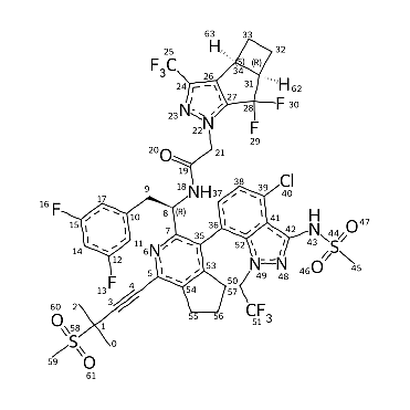 CC(C)(C#Cc1nc([C@@H](Cc2cc(F)cc(F)c2)NC(=O)Cn2nc(C(F)(F)F)c3c2C(F)(F)[C@@H]2CC[C@H]32)c(-c2ccc(Cl)c3c(NS(C)(=O)=O)nn(CC(F)(F)F)c23)c2c1CCC2)S(C)(=O)=O